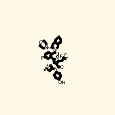 Cn1cc(N(C(=O)c2cc(-c3cc(F)ccc3C(=O)N3Cc4ccccc4C[C@H]3CN3CCOCC3)n(C)c2CC(F)(F)F)c2ccc(O)cc2)cn1